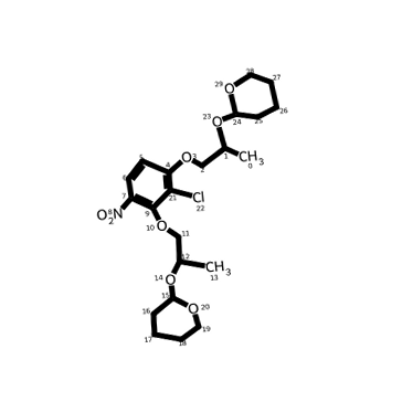 CC(COc1ccc([N+](=O)[O-])c(OCC(C)OC2CCCCO2)c1Cl)OC1CCCCO1